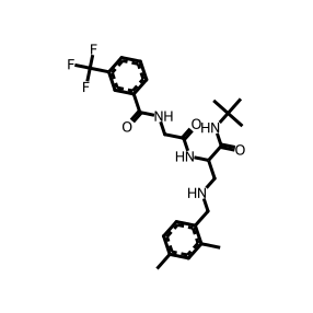 Cc1ccc(CNCC(NC(=O)CNC(=O)c2cccc(C(F)(F)F)c2)C(=O)NC(C)(C)C)c(C)c1